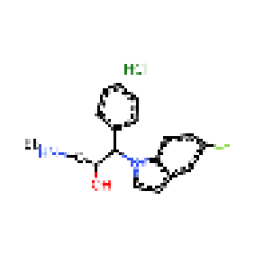 CCNCC(O)C(c1ccccc1)n1ccc2cc(F)ccc21.Cl